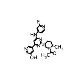 CC(=O)N1C[C@H](c2nc(Nc3ccnc(F)c3)cc(-c3cncc(O)c3)n2)CC[C@@H]1C